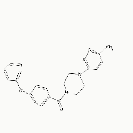 Cc1ccc(N2CCN(C(=O)c3ccc(Oc4ccccc4)cc3)CC2)nn1